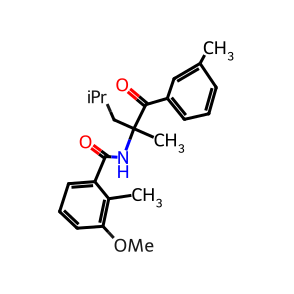 COc1cccc(C(=O)NC(C)(CC(C)C)C(=O)c2cccc(C)c2)c1C